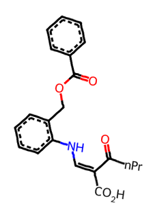 CCCC(=O)C(=CNc1ccccc1COC(=O)c1ccccc1)C(=O)O